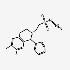 Cc1cc2c(cc1C)C(c1ccccc1)N(CCS(=O)(=O)N=[N+]=[N-])CC2